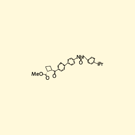 COC(=O)[C@@H]1CC[C@H]1C(=O)c1ccc(-c2ccc(NC(=O)Cc3ccc(C(C)C)cc3)cc2)cc1